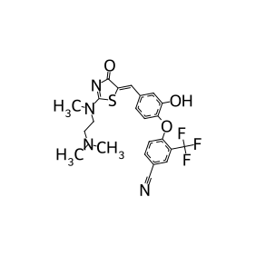 CN(C)CCN(C)C1=NC(=O)/C(=C/c2ccc(Oc3ccc(C#N)cc3C(F)(F)F)c(O)c2)S1